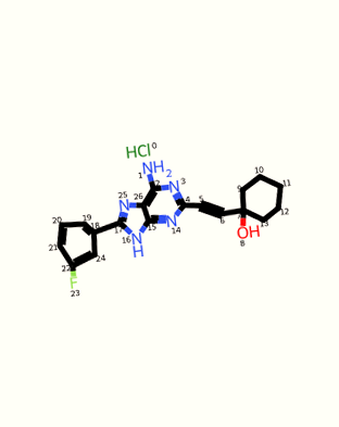 Cl.Nc1nc(C#CC2(O)CCCCC2)nc2[nH]c(-c3cccc(F)c3)nc12